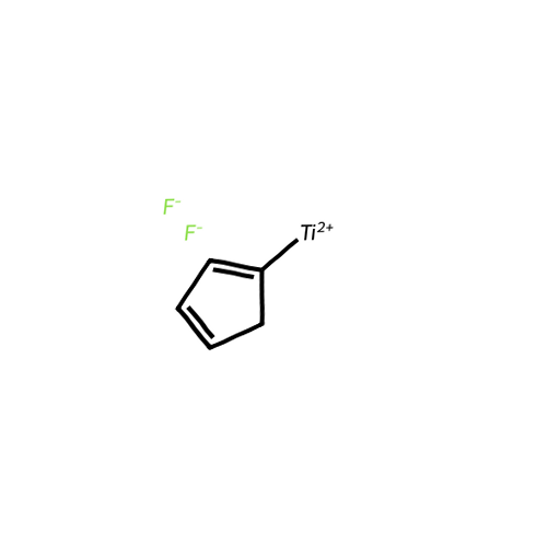 [F-].[F-].[Ti+2][C]1=CC=CC1